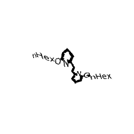 CCCCCCOc1cccc(C=Cc2cccc(OCCCCCC)n2)n1